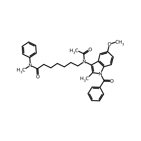 COc1ccc2c(c1)c(N(CCCCCCC(=O)N(C)c1ccccc1)C(C)=O)c(C)n2C(=O)c1ccccc1